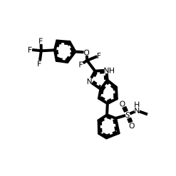 CNS(=O)(=O)c1ccccc1-c1ccc2[nH]c(C(F)(F)Oc3ccc(C(F)(F)F)cc3)nc2c1